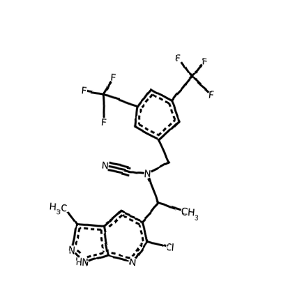 Cc1n[nH]c2nc(Cl)c(C(C)N(C#N)Cc3cc(C(F)(F)F)cc(C(F)(F)F)c3)cc12